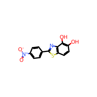 O=[N+]([O-])c1ccc(-c2nc3c(O)c(O)ccc3s2)cc1